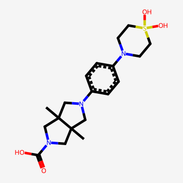 CC12CN(C(=O)O)CC1(C)CN(c1ccc(N3CCS(O)(O)CC3)cc1)C2